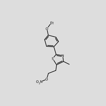 CCOc1ccc(-c2nc(C)c(CCO[N+](=O)[O-])s2)cc1